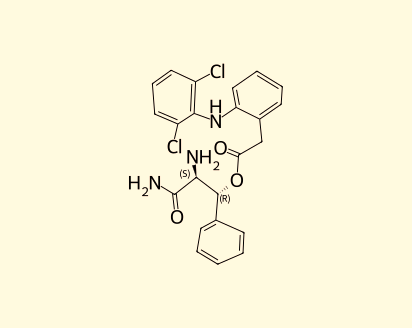 NC(=O)[C@@H](N)[C@H](OC(=O)Cc1ccccc1Nc1c(Cl)cccc1Cl)c1ccccc1